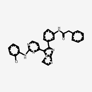 O=C(Cc1ccccc1)Nc1cccc(-c2nc3sccn3c2-c2ccnc(Nc3ccccc3Cl)n2)c1